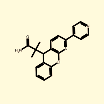 CC(C)(C(N)=O)C1c2ccccc2Oc2nc(-c3ccncc3)ccc21